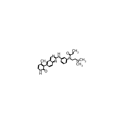 C=CC(=O)N(CCN(C)C)c1cccc(Nc2ncc3cc(-c4c(C)cc[nH]c4=O)ccc3n2)c1